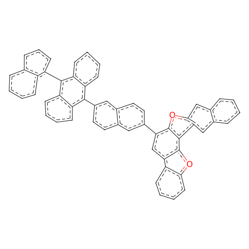 c1ccc2cc3c(cc2c1)oc1c(-c2ccc4cc(-c5c6ccccc6c(-c6cccc7ccccc67)c6ccccc56)ccc4c2)cc2c4ccccc4oc2c13